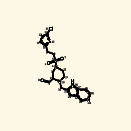 O=CC1CN(S(=O)(=O)CCc2ccc(Cl)s2)CCN1Cc1cc2cnccc2[nH]1